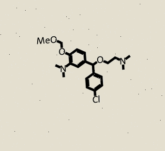 COCOc1ccc(C(OCCN(C)C)c2ccc(Cl)cc2)cc1N(C)C